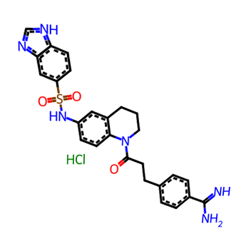 Cl.N=C(N)c1ccc(CCC(=O)N2CCCc3cc(NS(=O)(=O)c4ccc5[nH]cnc5c4)ccc32)cc1